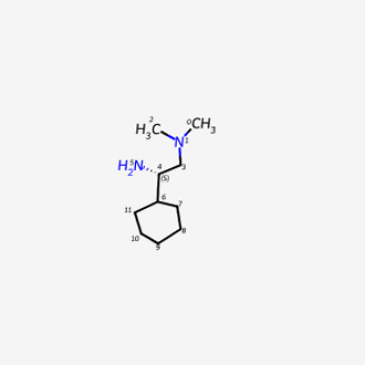 CN(C)C[C@@H](N)C1CCCCC1